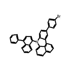 Brc1ccc(-c2ccc3c(c2)-c2cccc4cccc(c24)N3c2ccc(-c3ccccc3)c3ccccc23)cc1